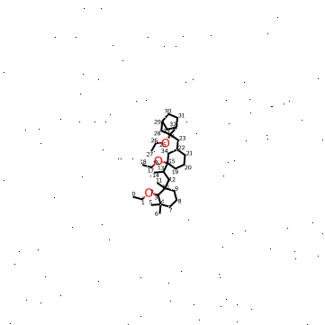 CCOC1C(C)(C)CCCC1(C)CC(C)C1(OCC)CCCC(CC2(OCC)CC3CCC2C3)C1